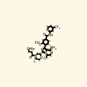 CCOc1cc(C(=O)Nc2cc(C(F)(F)F)ccn2)ccc1-c1nc([C@H]2CN(C(=O)CCOC)[C@@H](C)CO2)n2c(Cl)cnc(N)c12